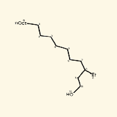 CCCCCCCCCCCCCCCC(CC)CCO